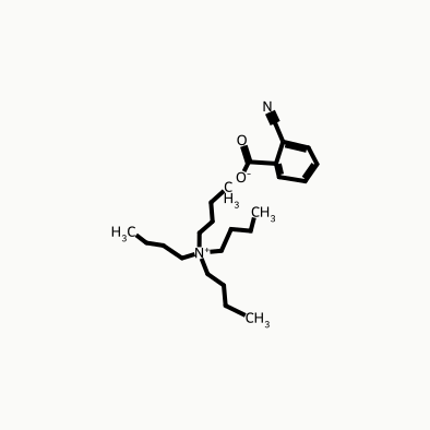 CCCC[N+](CCCC)(CCCC)CCCC.N#Cc1ccccc1C(=O)[O-]